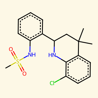 CC1(C)CC(c2ccccc2NS(C)(=O)=O)Nc2c(Cl)cccc21